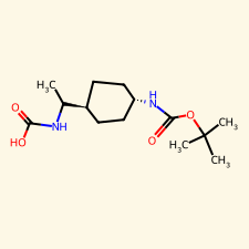 CC(NC(=O)O)[C@H]1CC[C@H](NC(=O)OC(C)(C)C)CC1